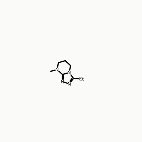 CCc1nnc2n1CCCN2C